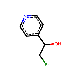 OC(CBr)c1ccncc1